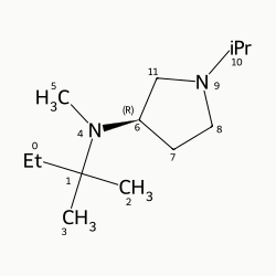 CCC(C)(C)N(C)[C@@H]1CCN(C(C)C)C1